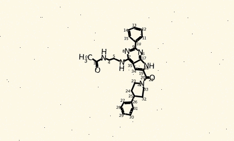 CC(=O)NCCNc1nc(-c2ccccc2)nc2[nH]c(C(=O)N3CCC(c4ccccc4)CC3)cc12